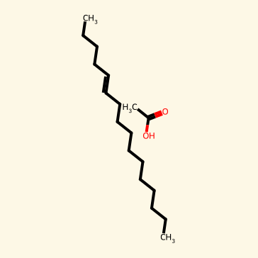 CC(=O)O.CCCC/C=C/CCCCCCCCCC